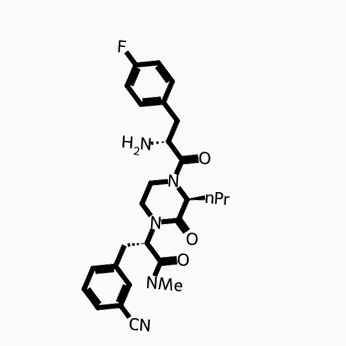 CCC[C@H]1C(=O)N([C@@H](Cc2cccc(C#N)c2)C(=O)NC)CCN1C(=O)[C@H](N)Cc1ccc(F)cc1